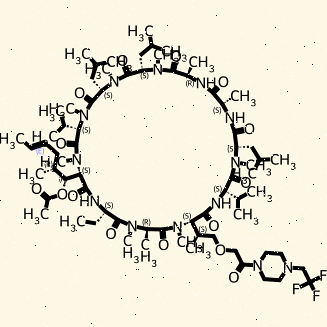 C/C=C/C[C@@H](C)[C@@H](OC(C)=O)[C@H]1C(=O)N[C@@H](CC)C(=O)N(C)[C@H](C)C(=O)N(C)[C@@H]([C@H](C)COCC(=O)N2CCN(CC(F)(F)F)CC2)C(=O)N[C@@H](C(C)C)C(=O)N(C)[C@@H](CC(C)C)C(=O)N[C@@H](C)C(=O)N[C@H](C)C(=O)N(C)[C@@H](CC(C)C)C(=O)N(C)[C@@H](CC(C)C)C(=O)N(C)[C@@H](C(C)C)C(=O)N1C